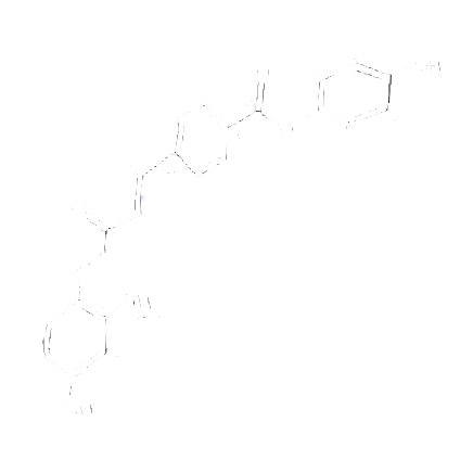 Nc1ccc(COC(=O)/C=C/c2ccc(C(=O)Oc3ccc(O)cc3)cc2)c(N)c1